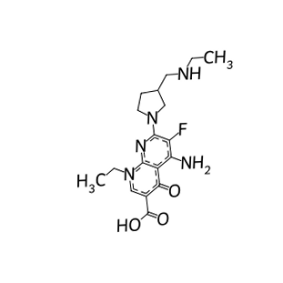 CCNCC1CCN(c2nc3c(c(N)c2F)c(=O)c(C(=O)O)cn3CC)C1